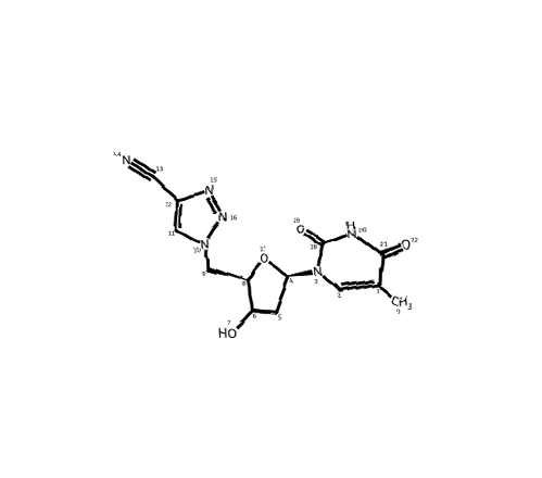 Cc1cn([C@H]2CC(O)[C@@H](Cn3cc(C#N)nn3)O2)c(=O)[nH]c1=O